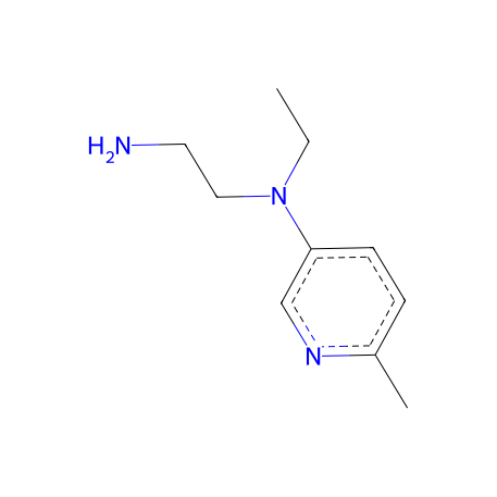 CCN(CCN)c1ccc(C)nc1